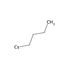 CCC[CH2][Cs]